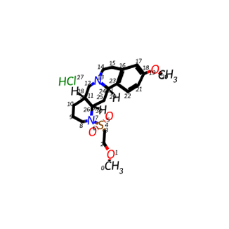 COCCS(=O)(=O)N1CCC[C@@H]2CN3CCc4cc(OC)ccc4[C@@H]3C[C@@H]21.Cl